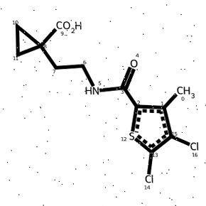 Cc1c(C(=O)NCCC2(C(=O)O)CC2)sc(Cl)c1Cl